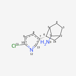 NC1C2CCC1[C@@H](c1ccc(Cl)nc1)C2